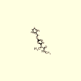 CNC(=O)N(C)c1nnc(SCC2NCCN2)s1